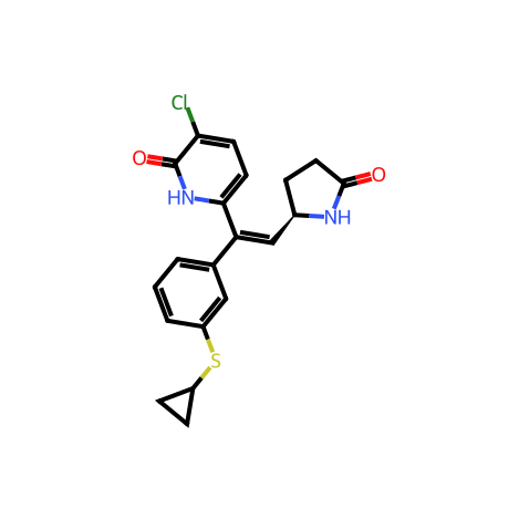 O=C1CC[C@H](C=C(c2cccc(SC3CC3)c2)c2ccc(Cl)c(=O)[nH]2)N1